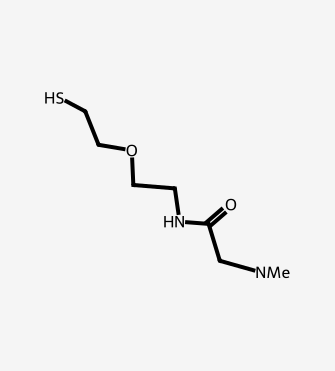 CNCC(=O)NCCOCCS